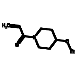 C=CC(=O)N1CCC(OCC)CC1